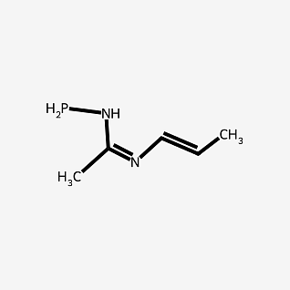 C/C=C/N=C(/C)NP